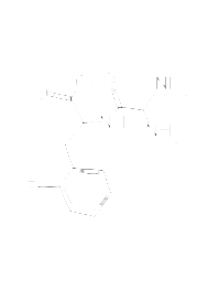 NC(N)C(=O)NC(Cc1ccccc1F)C(=O)O